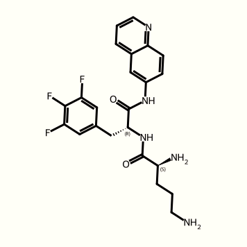 NCCC[C@H](N)C(=O)N[C@H](Cc1cc(F)c(F)c(F)c1)C(=O)Nc1ccc2ncccc2c1